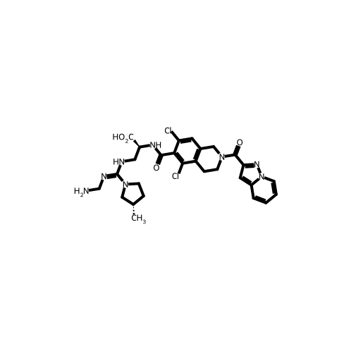 C[C@H]1CCN(/C(=N\CN)NC[C@H](NC(=O)c2c(Cl)cc3c(c2Cl)CCN(C(=O)c2cc4ccccn4n2)C3)C(=O)O)C1